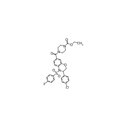 CCOC(=O)N1CCN(C(=O)c2ccc3c(c2)OCC(c2ccc(Cl)cc2)N3S(=O)(=O)c2ccc(F)cc2)CC1